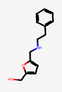 OCc1ccc(CNCCc2ccccc2)o1